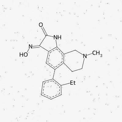 CCc1ccccc1-c1cc2c(c3c1CCN(C)C3)NC(=O)/C2=N/O